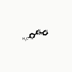 Cc1ccc(-c2cnc(-c3cccnc3)[nH]2)cn1